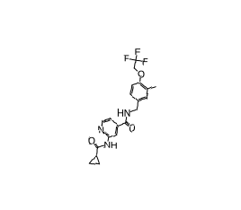 Cc1cc(CNC(=O)c2ccnc(NC(=O)C3CC3)c2)ccc1OCC(F)(F)F